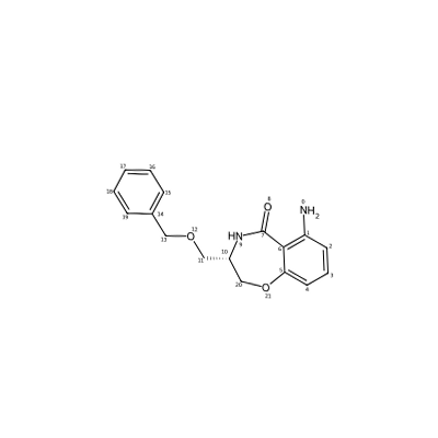 Nc1cccc2c1C(=O)N[C@@H](COCc1ccccc1)CO2